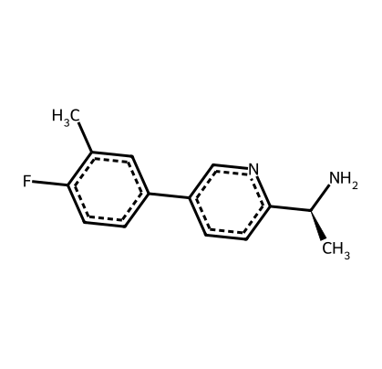 Cc1cc(-c2ccc([C@H](C)N)nc2)ccc1F